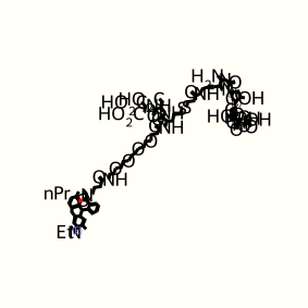 CCCc1cc2c(cc1C)C(c1ccccc1C(=O)N(C)CCCC(=O)NCCOCCOCCOCCOCCC(=O)NC(CCCSSCCC(=O)NCC#Cc1cn([C@H]3CC(O)[C@@H](COP(=O)(O)OP(=O)(O)OP(=O)(O)O)O3)c(=O)nc1N)C(=O)NC(CC(=O)O)C(=O)NC(CC(=O)O)C(=O)O)C1C=C(C)/C(=N/CC)C=C1C2